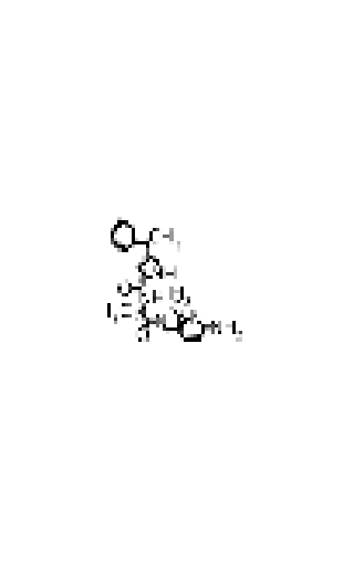 Cc1nc(N)ccc1CNC(=O)[C@H](C)NC(=O)[C@H]1C[C@@H](C(C)c2ccccc2)CN1